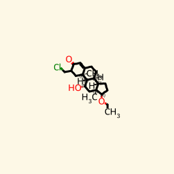 CCO[C@@H]1CC[C@H]2[C@@H]3CCC4=CC(=O)C(CCl)C[C@]4(C)[C@H]3[C@@H](O)C[C@]12C